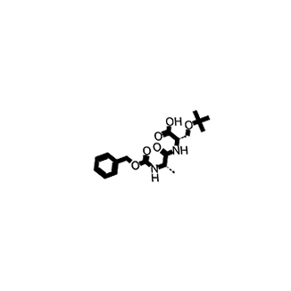 C[C@H](NC(=O)OCc1ccccc1)C(=O)N[C@@H](COC(C)(C)C)C(=O)O